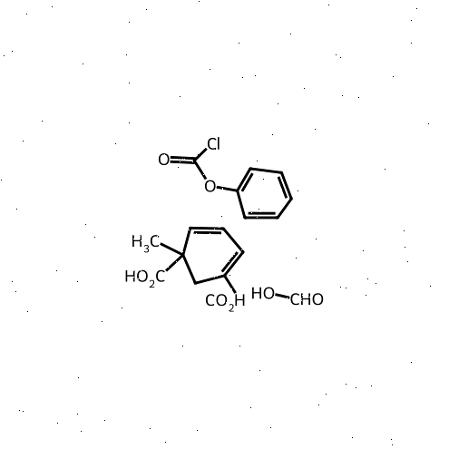 CC1(C(=O)O)C=CC=C(C(=O)O)C1.O=C(Cl)Oc1ccccc1.O=CO